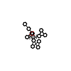 c1ccc(-c2ccc(-c3ccc(N(c4ccc5c6ccccc6c6ccccc6c5c4)c4cc5c(cc4-n4c6ccccc6c6ccccc64)-c4ccccc4C54c5ccccc5-c5ccccc54)cc3)cc2)cc1